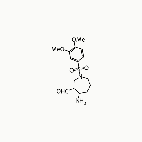 COc1ccc(S(=O)(=O)N2CCCC(N)C(C=O)C2)cc1OC